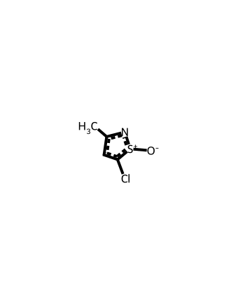 Cc1cc(Cl)[s+]([O-])n1